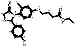 CCOC(=O)CCCOc1ccc(N2C(=O)CSC2c2ccc(F)cc2)c(C)c1